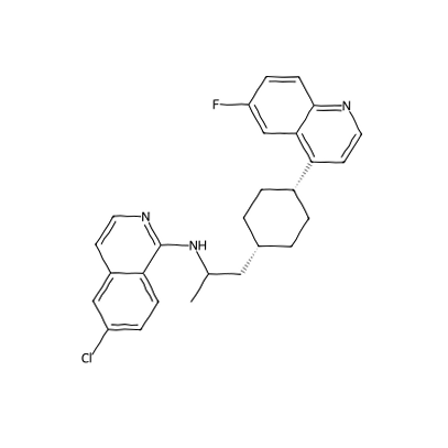 CC(C[C@H]1CC[C@@H](c2ccnc3ccc(F)cc32)CC1)Nc1nccc2cc(Cl)ccc12